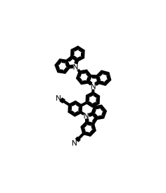 N#Cc1ccc(-n2c3ccccc3c3ccc(C#N)cc32)c(-c2cccc(-n3c4ccccc4c4cc(-n5c6ccccc6c6ccccc65)ccc43)c2)c1